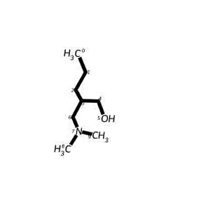 CCCC(CO)CN(C)C